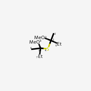 CCC(C)(OC)SC(C)(CC)OC